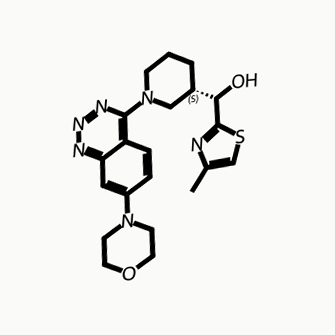 Cc1csc(C(O)[C@H]2CCCN(c3nnnc4cc(N5CCOCC5)ccc34)C2)n1